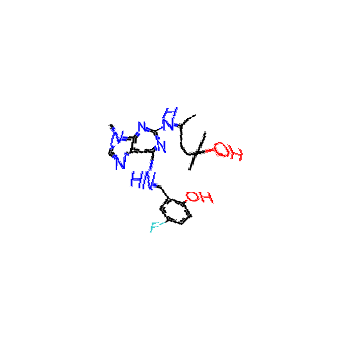 CC(CC(C)(C)O)Nc1nc(NCc2cc(F)ccc2O)c2ncn(C)c2n1